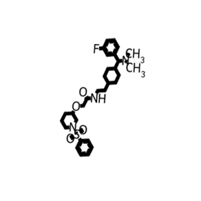 CN(C)C(c1cccc(F)c1)C1CCC(CCNC(=O)COC2CCCN(S(=O)(=O)c3ccccc3)C2)CC1